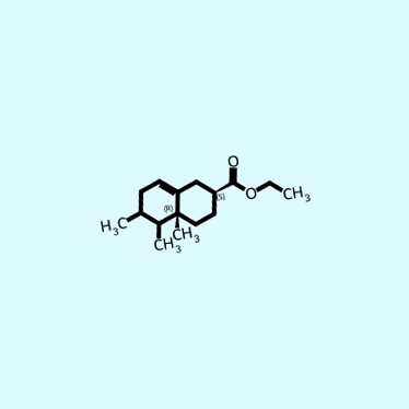 CCOC(=O)[C@H]1CC[C@@]2(C)C(=CCC(C)C2C)C1